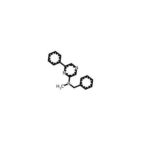 CN(Cc1ccccc1)c1cncc(-c2ccccc2)n1